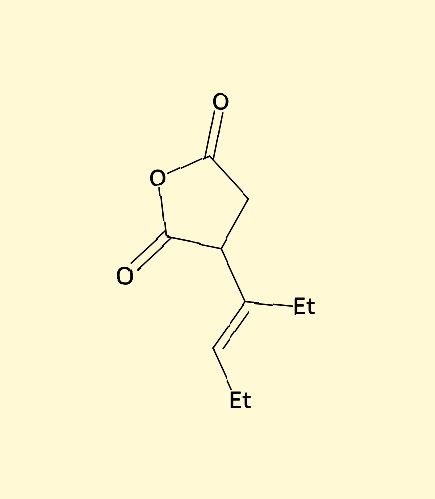 CC/C=C(\CC)C1CC(=O)OC1=O